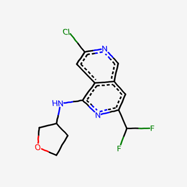 FC(F)c1cc2cnc(Cl)cc2c(NC2CCOC2)n1